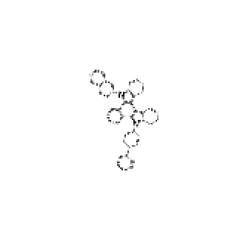 c1cccc(C2C=CC(n3c4c(c5c6c7c(n(-c8ccc9ccccc9c8)c6c6ccccc6c53)C=CCC7)C=CCC4)=CC2)c#1